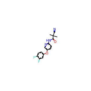 CC(C)(C#N)C(=O)Nc1ccc(Oc2ccc(F)c(F)c2)cn1